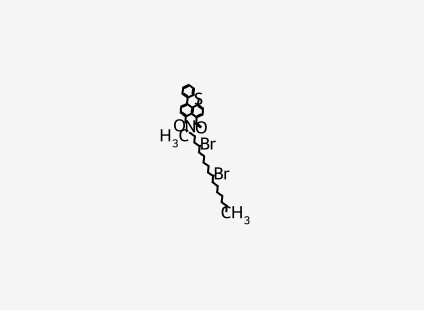 CCCCCCCC(Br)CCCCCC(Br)CCC(C)n1c(=O)c2ccc3sc4ccccc4c4ccc(c1=O)c2c34